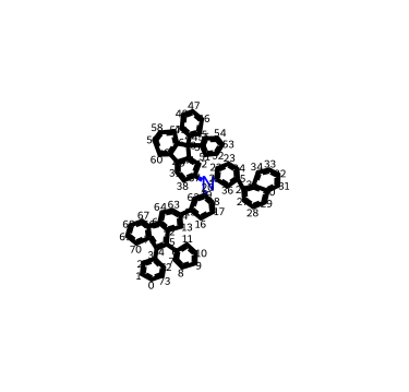 c1ccc(-c2c(-c3ccccc3)c3cc(-c4cccc(N(c5cccc(-c6cccc7ccccc67)c5)c5ccc6c(c5)C(c5ccccc5)(c5ccccc5)c5ccccc5-6)c4)ccc3c3ccccc23)cc1